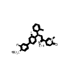 Cc1ccccc1C(CC(=NO)c1ccc(=O)n(C)c1)c1ccc(-c2ccc(C(=O)O)c(F)c2)cc1F